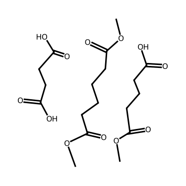 COC(=O)CCCC(=O)O.COC(=O)CCCCC(=O)OC.O=C(O)CCC(=O)O